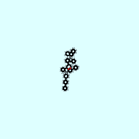 C1=Cc2c(-n3c4ccccc4c4c(C5=CC(c6ccccc6N(C6=CCC(c7ccc(-c8ccccc8)cc7)C=C6)c6ccc(-c7ccccc7)cc6)CCC=C5)cccc43)cc3ccccc3c2CC1